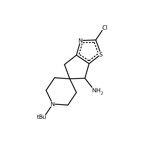 CC(C)(C)N1CCC2(CC1)Cc1nc(Cl)sc1C2N